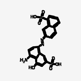 Nc1ccc(N=Nc2ccc3cccc(S(=O)(=O)O)c3c2)c2cc(S(=O)(=O)O)cc(O)c12